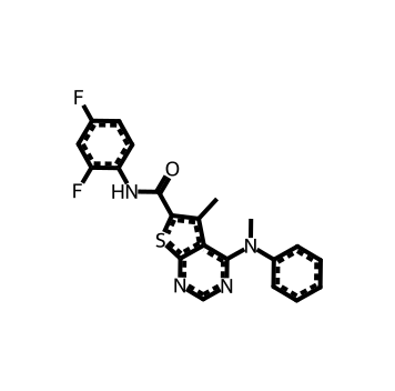 Cc1c(C(=O)Nc2ccc(F)cc2F)sc2ncnc(N(C)c3ccccc3)c12